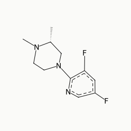 C[C@@H]1CN(c2ncc(F)cc2F)CCN1C